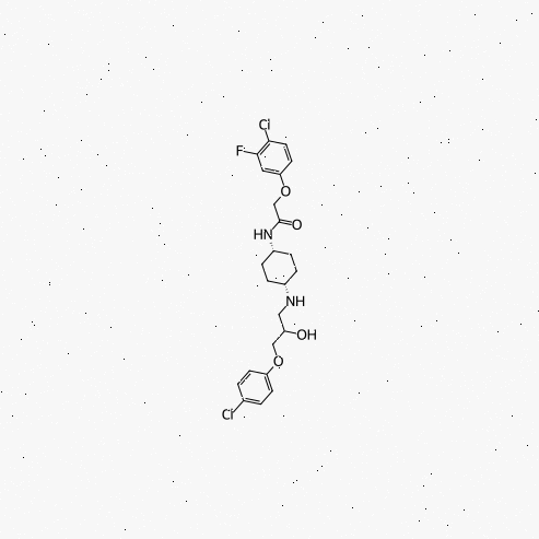 O=C(COc1ccc(Cl)c(F)c1)N[C@H]1CC[C@@H](NCC(O)COc2ccc(Cl)cc2)CC1